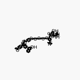 C=CC(=O)N1CCN(c2nc(O[C@H](C)CN3CCC(OCCOCCOCCOCCOc4cc(-c5scnc5C)ccc4CNC(=O)[C@@H]4C[C@@H](O)CN4C(=O)[C@H](c4cc(C)no4)C(C)C)CC3)nc3c2CCN(c2cc(O)cc4ccccc24)C3)CC1